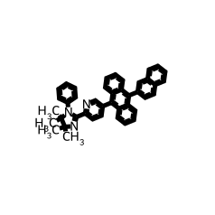 CC1(C)N=C(c2ccc(-c3c4ccccc4c(-c4ccc5ccccc5c4)c4ccccc34)cn2)N(c2ccccc2)C1(C)C